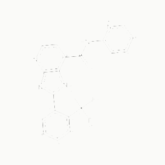 O=C(Nc1ccccn1)c1ccnc2[nH]c(-c3ccccc3C(F)(F)F)nc12